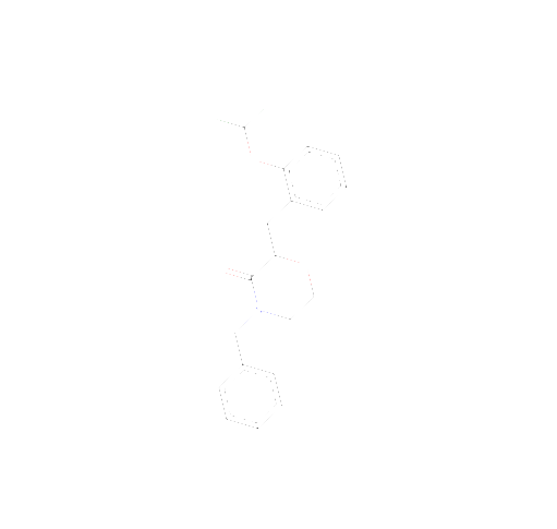 O=C1C(Cc2ccccc2OC(F)F)OCCN1Cc1ccccc1